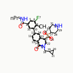 CCCNC(=O)c1cc(F)c(C)c(-c2ccc3c(=O)n(CC4CC4)cc(S(=O)(=O)C4CCNCC4)c3c2)c1